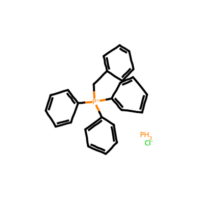 P.[Cl-].c1ccc(C[P+](c2ccccc2)(c2ccccc2)c2ccccc2)cc1